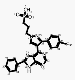 CS(=O)(=O)CCCn1cc(-c2ncnc3[nH]c(-c4ccccc4)nc23)c(-c2ccc(F)cc2)n1